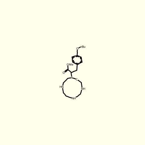 CCCCOc1ccc(CC(C(=O)OC)N2CCNCCNCCNCC2)cc1